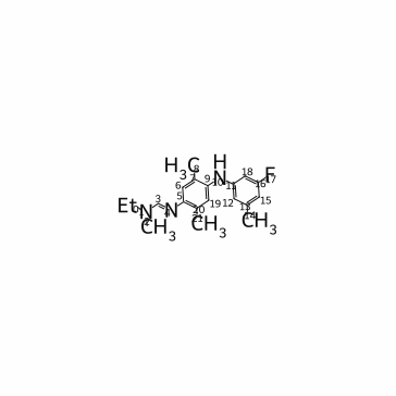 CCN(C)C=Nc1cc(C)c(Nc2cc(C)cc(F)c2)cc1C